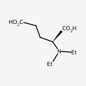 CCN(CC)[C@@H](CCC(=O)O)C(=O)O